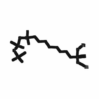 C=P(CCCCCCCC[Si](C)(C)O[Si](C)(C)O[Si](C)(C)C)(OCC)OCC